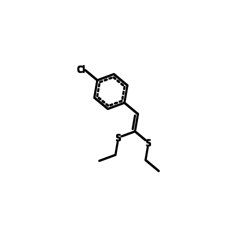 CCSC(=Cc1ccc(Cl)cc1)SCC